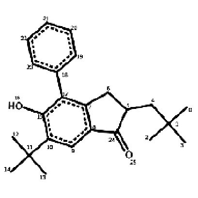 CC(C)(C)CC1Cc2c(cc(C(C)(C)C)c(O)c2-c2ccccc2)C1=O